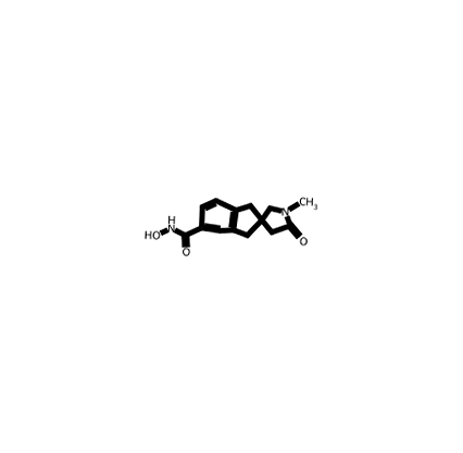 CN1CC2(CC1=O)Cc1ccc(C(=O)NO)cc1C2